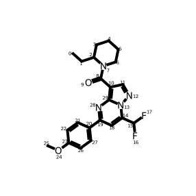 CCC1CCCCN1C(=O)c1cnn2c(C(F)F)cc(-c3ccc(OC)cc3)nc12